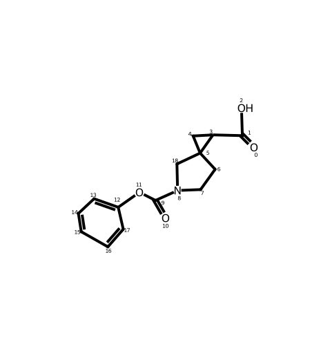 O=C(O)C1CC12CCN(C(=O)Oc1ccccc1)C2